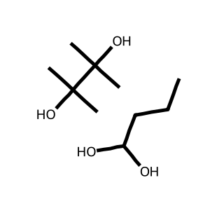 CC(C)(O)C(C)(C)O.CCCC(O)O